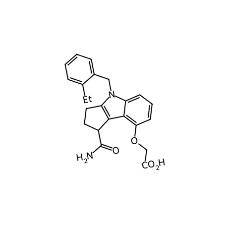 CCc1ccccc1Cn1c2c(c3c(OCC(=O)O)cccc31)C(C(N)=O)CC2